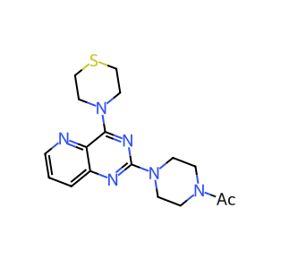 CC(=O)N1CCN(c2nc(N3CCSCC3)c3ncccc3n2)CC1